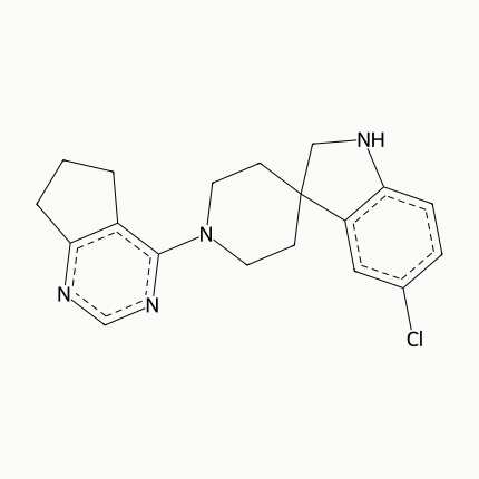 Clc1ccc2c(c1)C1(CCN(c3ncnc4c3CCC4)CC1)CN2